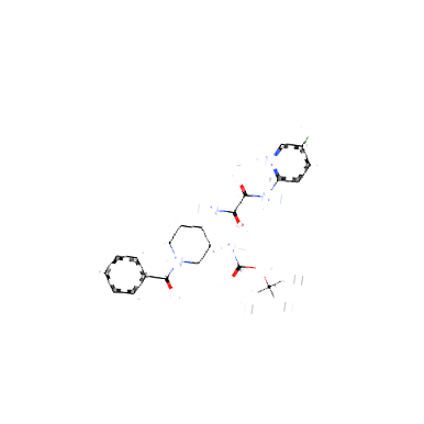 CC(C)(C)OC(=O)N[C@@H]1CN(C(=O)c2ccccc2)CC[C@@H]1NC(=O)C(=O)Nc1ccc(Cl)cn1